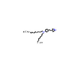 CCCCCCCCCCCCCCCCCCN(CCCCCCCCCCCCCCCCCC)c1ccc(/C=C/c2ccncc2)cc1